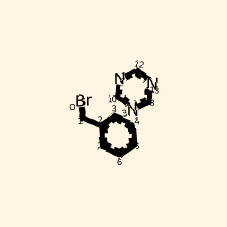 BrCc1ccccc1.c1ncncn1